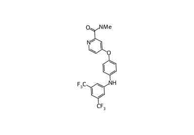 CNC(=O)c1cc(Oc2ccc(Nc3cc(C(F)(F)F)cc(C(F)(F)F)c3)cc2)ccn1